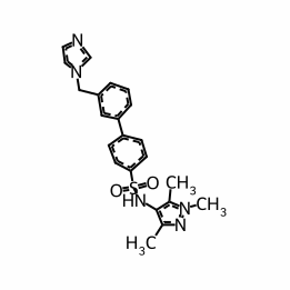 Cc1nn(C)c(C)c1NS(=O)(=O)c1ccc(-c2cccc(Cn3ccnc3)c2)cc1